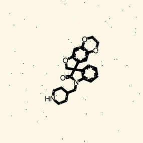 O=C1N(CC2CCNCC2)c2ccccc2C12COc1cc3c(cc12)OCCO3